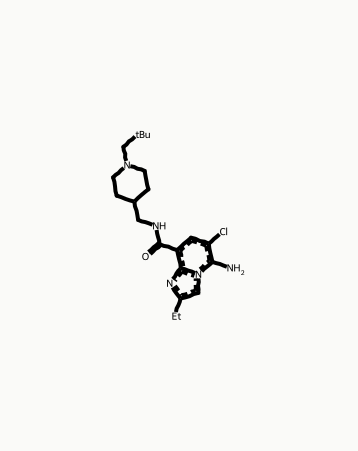 CCc1cn2c(N)c(Cl)cc(C(=O)NCC3CCN(CC(C)(C)C)CC3)c2n1